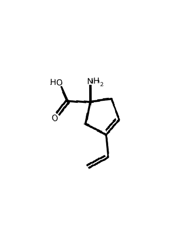 C=CC1=CCC(N)(C(=O)O)C1